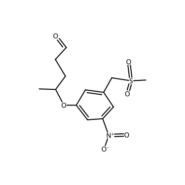 CC(CCC=O)Oc1cc(CS(C)(=O)=O)cc([N+](=O)[O-])c1